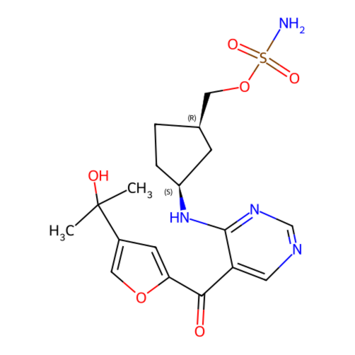 CC(C)(O)c1coc(C(=O)c2cncnc2N[C@H]2CC[C@@H](COS(N)(=O)=O)C2)c1